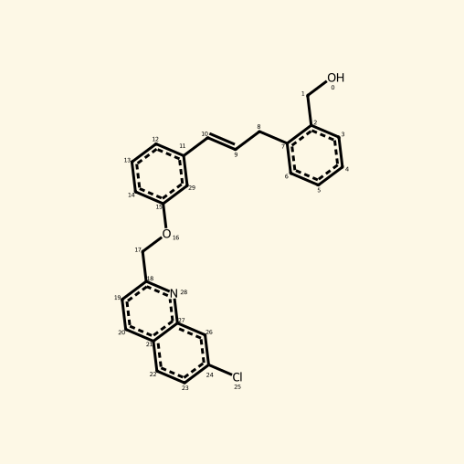 OCc1ccccc1CC=Cc1cccc(OCc2ccc3ccc(Cl)cc3n2)c1